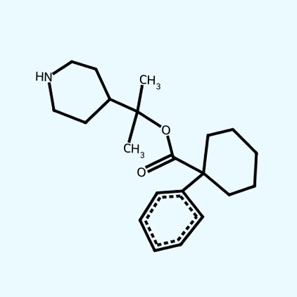 CC(C)(OC(=O)C1(c2ccccc2)CCCCC1)C1CCNCC1